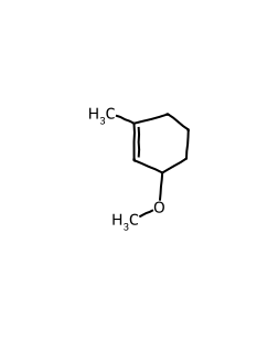 COC1C=C(C)CCC1